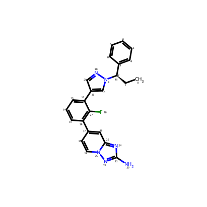 CC[C@H](c1ccccc1)n1cc(-c2cccc(-c3ccn4nc(N)nc4c3)c2F)cn1